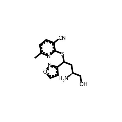 Cc1ccc(C#N)c(SC(C[C@H](N)CO)c2ccon2)n1